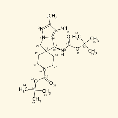 Cc1nn2c(c1Cl)[C@@H](NC(=O)OC(C)(C)C)C1(CCN(C(=O)OC(C)(C)C)CC1)C2